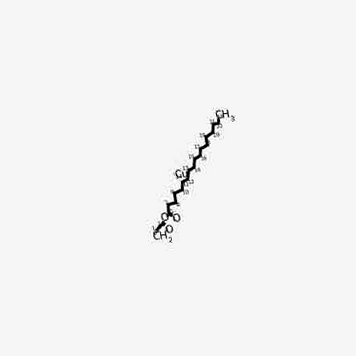 C=CC(=O)OC(=O)CCCCCCCCCCCCCCCCC.[Cu]